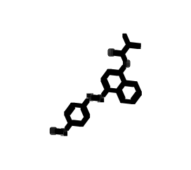 C=C(C)C(=O)Oc1ccc(N=Nc2ccc(N=O)cc2)c2ccccc12